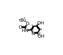 CC(C)(C)OC(=O)Nc1cc(O)cc(O)n1